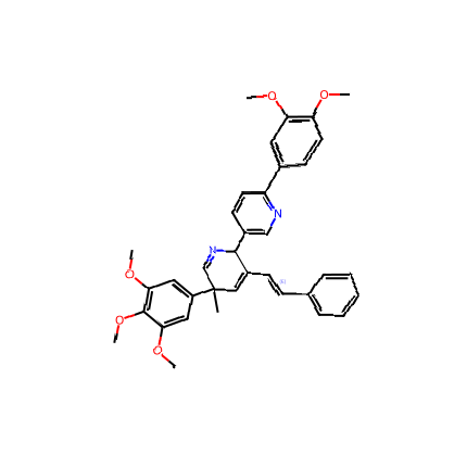 COc1ccc(-c2ccc(C3N=CC(C)(c4cc(OC)c(OC)c(OC)c4)C=C3/C=C/c3ccccc3)cn2)cc1OC